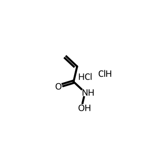 C=CC(=O)NO.Cl.Cl